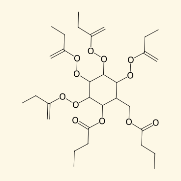 C=C(CC)OOC1C(COC(=O)CCC)C(OC(=O)CCC)C(OOC(=C)CC)C(OOC(=C)CC)C1OOC(=C)CC